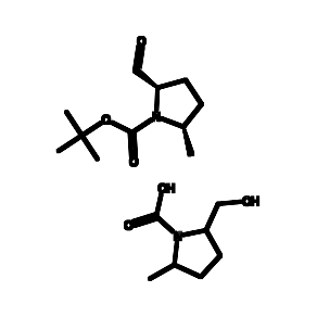 CC1CCC(CO)N1C(=O)O.C[C@@H]1CC[C@H](C=O)N1C(=O)OC(C)(C)C